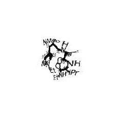 CCNC(=O)[C@@H](NC(=O)[C@H](C)NCC(Cc1cnn(CC)c1)NC)C(C)C